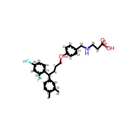 Cc1ccc(C(CCCOc2ccc(CNCCC(=O)O)cc2)c2ccc(F)cc2F)cc1C